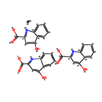 O=C([O-])c1cc(O)c2ccccc2n1.O=C([O-])c1cc(O)c2ccccc2n1.O=C([O-])c1cc(O)c2ccccc2n1.[Al+3]